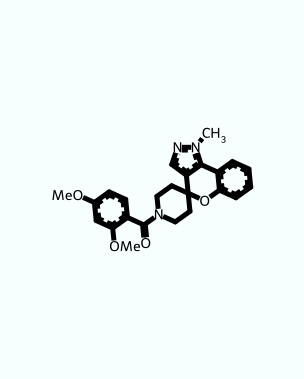 COc1ccc(C(=O)N2CCC3(CC2)Oc2ccccc2-c2c3cnn2C)c(OC)c1